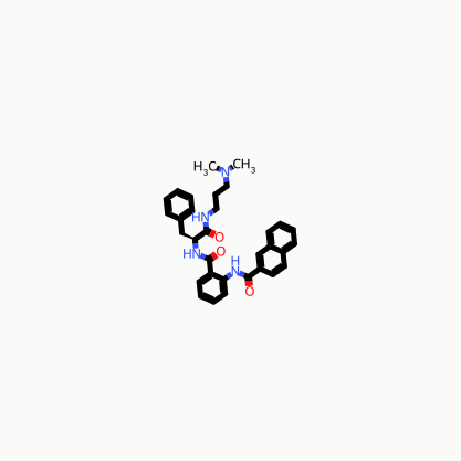 CN(C)CCCNC(=O)[C@H](Cc1ccccc1)NC(=O)c1ccccc1NC(=O)c1ccc2ccccc2c1